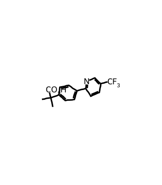 CC(C)(C(=O)O)c1ccc(-c2ccc(C(F)(F)F)cn2)cc1